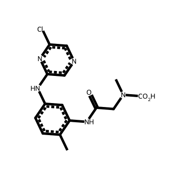 Cc1ccc(Nc2cncc(Cl)n2)cc1NC(=O)CN(C)C(=O)O